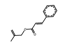 C=C(C)COC(=O)C=Cc1ccccc1